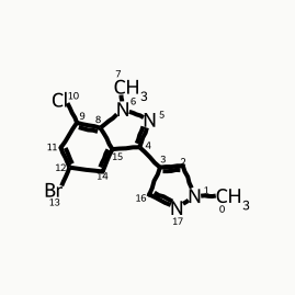 Cn1cc(-c2nn(C)c3c(Cl)cc(Br)cc23)cn1